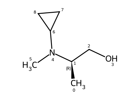 C[C@H](CO)N(C)C1CC1